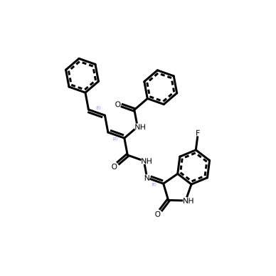 O=C(N/N=C1/C(=O)Nc2ccc(F)cc21)/C(=C/C=C/c1ccccc1)NC(=O)c1ccccc1